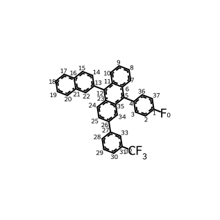 Fc1ccc(-c2c3ccccc3c(-c3ccc4ccccc4c3)c3ccc(-c4cccc(C(F)(F)F)c4)cc23)cc1